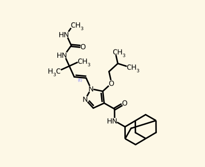 CNC(=O)NC(C)(C)/C=C/n1ncc(C(=O)NC2C3CC4CC(C3)CC2C4)c1OCC(C)C